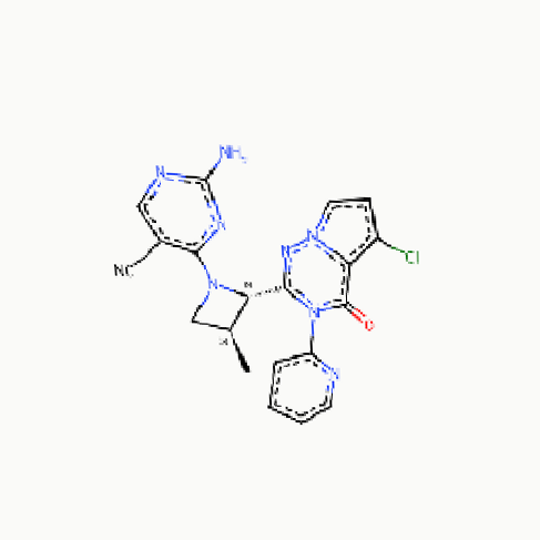 C[C@H]1CN(c2nc(N)ncc2C#N)[C@@H]1c1nn2ccc(Cl)c2c(=O)n1-c1ccccn1